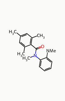 CNc1ccccc1N(C)C(=O)c1c(C)cc(C)cc1C